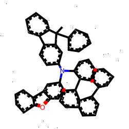 CC1(c2ccccc2)c2ccccc2-c2ccc(N(c3ccc4oc5ccccc5c4c3)c3ccccc3-c3cccc4cccc(-c5ccccc5)c34)cc21